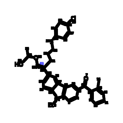 CCn1c2ccc(C(=O)c3ccccc3C)cc2c2cc(/C(CCCSc3ccc(Cl)cc3)=N/OC(C)O)ccc21